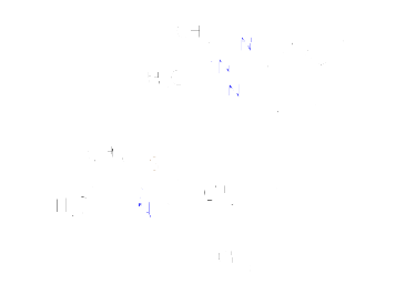 CC(C)c1nc(CC(C)(C)CCCc2cccc(-c3nn(C(C)C)nc3-c3ccccc3)c2)cs1